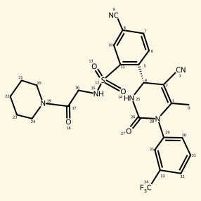 CC1=C(C#N)[C@@H](c2ccc(C#N)cc2S(=O)(=O)NCC(=O)N2CCCCC2)NC(=O)N1c1cccc(C(F)(F)F)c1